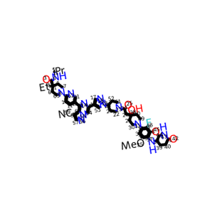 CCC1(C(=O)NC(C)C)CCN(c2ccc(-c3nc(-c4cnn(C5CCN(C(=O)CC6(O)CCN(c7cc(OC)c(NC8CCC(=O)NC8=O)cc7F)CC6)CC5)c4)cn4ncc(C#N)c34)cn2)CC1